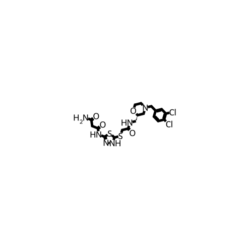 NC(=O)CC(=O)NC1=NNC(SCC(=O)NC[C@H]2CN(Cc3ccc(Cl)c(Cl)c3)CCO2)S1